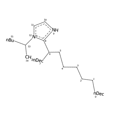 CCCCCCCCCCCCCCCC(CCCCCCCCCC)c1[nH]cc[n+]1C(C)CCCC